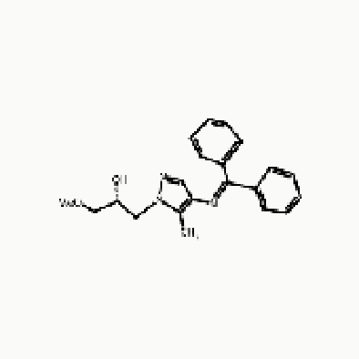 COC[C@H](O)Cn1ncc(N=C(c2ccccc2)c2ccccc2)c1C